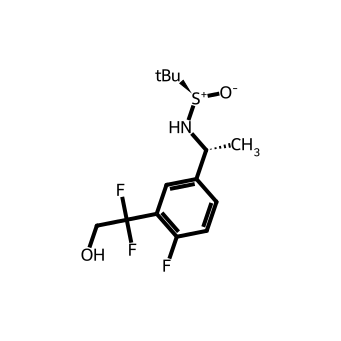 C[C@@H](N[S@+]([O-])C(C)(C)C)c1ccc(F)c(C(F)(F)CO)c1